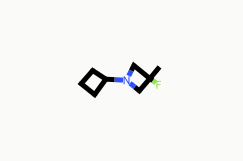 CC1(F)CN(C2CCC2)C1